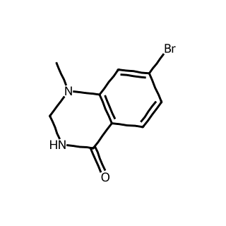 CN1CNC(=O)c2ccc(Br)cc21